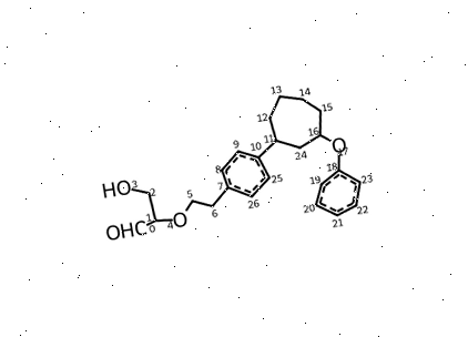 O=CC(CO)OCCc1ccc(C2CCCCC(Oc3ccccc3)C2)cc1